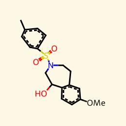 COc1ccc2c(c1)CCN(S(=O)(=O)c1ccc(C)cc1)CC2O